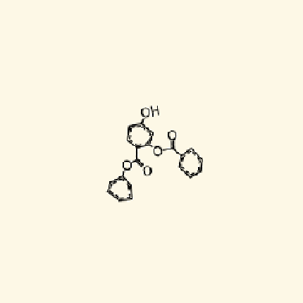 O=C(Oc1cc(O)ccc1C(=O)Oc1ccccc1)c1ccccc1